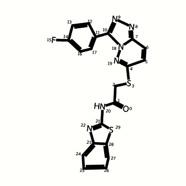 O=C(CSc1ccc2nnc(-c3ccc(F)cc3)n2n1)Nc1nc2ccccc2s1